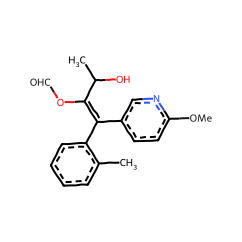 COc1ccc(/C(=C(/OC=O)C(C)O)c2ccccc2C)cn1